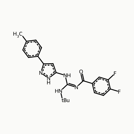 Cc1ccc(-c2cc(N/C(=N\C(=O)c3ccc(F)c(F)c3)NC(C)(C)C)[nH]n2)cc1